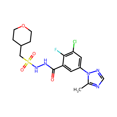 Cc1ncnn1-c1cc(Cl)c(F)c(C(=O)NNS(=O)(=O)CC2CCOCC2)c1